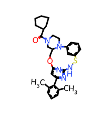 Cc1cccc(C)c1-c1cc2nc(n1)NSc1cccc(c1)N1CCN(C(=O)C3CCCCC3)CC1CO2